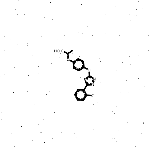 CC(Oc1ccc(Oc2nnc(-c3ccccc3Cl)s2)cc1)C(=O)O